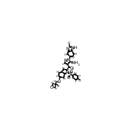 Cc1ccc(S(=O)(=O)n2c(C(=O)c3cnn(-c4ccc5[nH]c(C)nc5c4)c3N)cc3ccc(OCC4(C)COC4)cc32)cc1